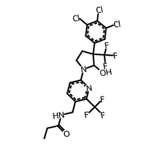 CCC(=O)NCc1ccc(N2CCC(c3cc(Cl)c(Cl)c(Cl)c3)(C(F)(F)F)C2O)nc1C(F)(F)F